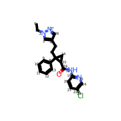 CCn1cc(CCC2(c3ccccc3)CC2C(=O)Nc2ccc(Cl)cn2)cn1